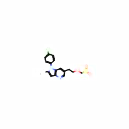 Cc1cc2ncc(CCOC[SH](=O)=O)cc2n1-c1ccc(Cl)cc1